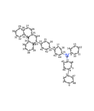 c1ccc(-c2ccc(N(c3ccccc3)c3ccc(-c4ccc(-c5cc6ccc7ccccc7c6c6ccccc56)cc4)cc3)cc2)cc1